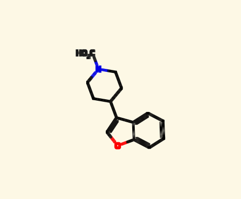 O=C(O)N1CCC(c2coc3ccccc23)CC1